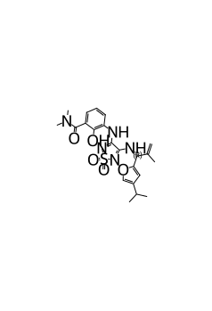 C=C(C)[C@@H](NC1=NS(=O)(=O)N=C1Nc1cccc(C(=O)N(C)C)c1O)c1cc(C(C)C)co1